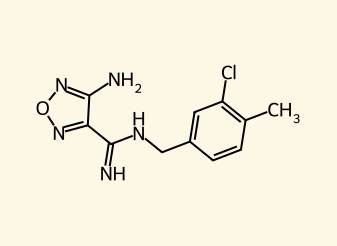 Cc1ccc(CNC(=N)c2nonc2N)cc1Cl